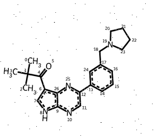 CC(C)(C)C(=O)c1c[nH]c2ncc(-c3cccc(CN4CCCC4)c3)nc12